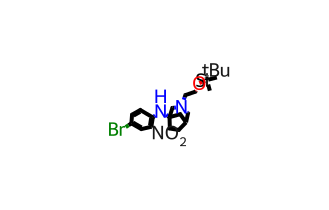 CC(C)(C)[Si](C)(C)OCCN1CC2CCC(Nc3ccc(Br)cc3[N+](=O)[O-])(C2)C1